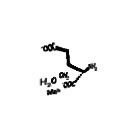 N[C@@H](CCC(=O)[O-])C(=O)[O-].O.O.[Mn+2]